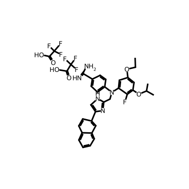 CCOc1cc(OC(C)C)c(F)c(N(Cc2nc(-c3ccc4ccccc4c3)c[nH]2)c2ccc(C(=N)N)cc2)c1.O=C(O)C(F)(F)F.O=C(O)C(F)(F)F